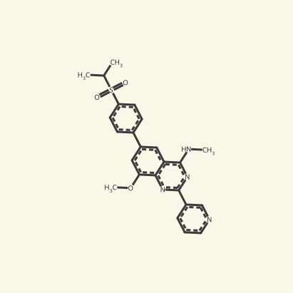 CNc1nc(-c2cccnc2)nc2c(OC)cc(-c3ccc(S(=O)(=O)C(C)C)cc3)cc12